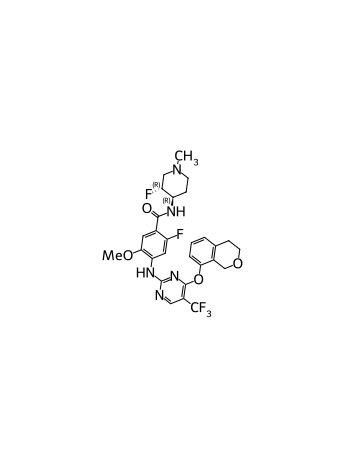 COc1cc(C(=O)N[C@@H]2CCN(C)C[C@H]2F)c(F)cc1Nc1ncc(C(F)(F)F)c(Oc2cccc3c2COCC3)n1